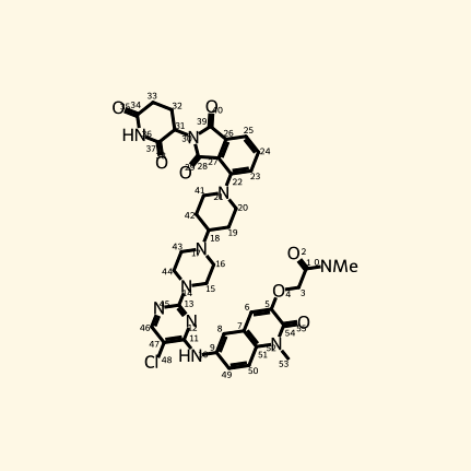 CNC(=O)COc1cc2cc(Nc3nc(N4CCN(C5CCN(c6cccc7c6C(=O)N(C6CCC(=O)NC6=O)C7=O)CC5)CC4)ncc3Cl)ccc2n(C)c1=O